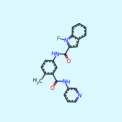 Cc1ccc(NC(=O)c2cc3ccccc3n2F)cc1C(=O)Nc1cccnc1